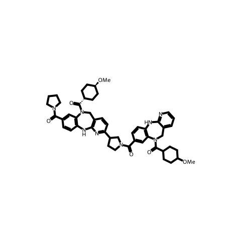 COC1CCC(C(=O)N2Cc3cccnc3Nc3ccc(C(=O)N4CCC(c5ccc6c(n5)Nc5ccc(C(=O)N7CCCC7)cc5N(C(=O)[C@H]5CC[C@H](OC)CC5)C6)C4)cc32)CC1